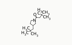 CC(C)(C)CC(=O)N1CCC(CC(C)(C)C)C1